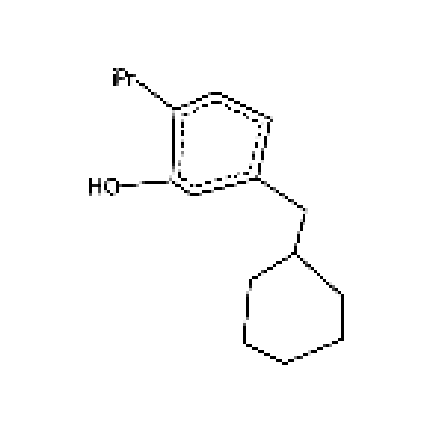 CC(C)c1ccc(CC2CCCCC2)cc1O